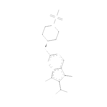 CC(C)c1c(C(F)F)c(F)c2cnc(N[C@@H]3CCN(S(C)(=O)=O)C[C@H]3F)nn12